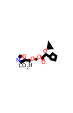 O=C(OCO[C@@H](C(=O)O)c1cnco1)[C@@H](OC1CC1)C1CCCC1